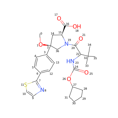 CO[C@@]1(c2ccc(-c3nccs3)cc2)C[C@@H](C(=O)O)N(C(=O)C(NC(=O)OC2CCCC2)C(C)(C)C)C1